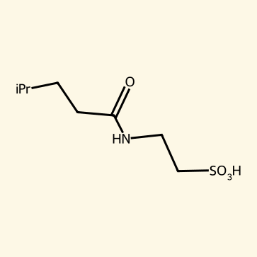 CC(C)CCC(=O)NCCS(=O)(=O)O